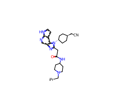 CC(C)CN1CCC(NC(=O)Cc2nc3cnc4[nH]ccc4c3n2[C@H]2CC[C@H](CC#N)CC2)CC1